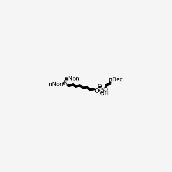 CCCCCCCCCCCCOP(=O)(O)OCCCCCCCCN(CCCCCCCCC)CCCCCCCCC